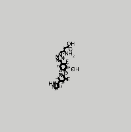 Cl.NC(CC(=O)O)Cn1nnc(-c2ccc(Oc3ncc(-c4ccn[nH]4)cc3F)cc2F)n1